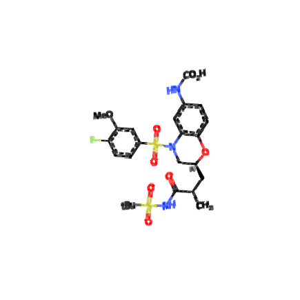 COc1cc(S(=O)(=O)N2C[C@H](CC(C)C(=O)NS(=O)(=O)C(C)(C)C)Oc3ccc(NC(=O)O)cc32)ccc1F